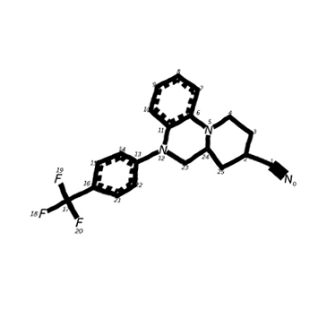 N#CC1CCN2c3ccccc3N(c3ccc(C(F)(F)F)cc3)CC2C1